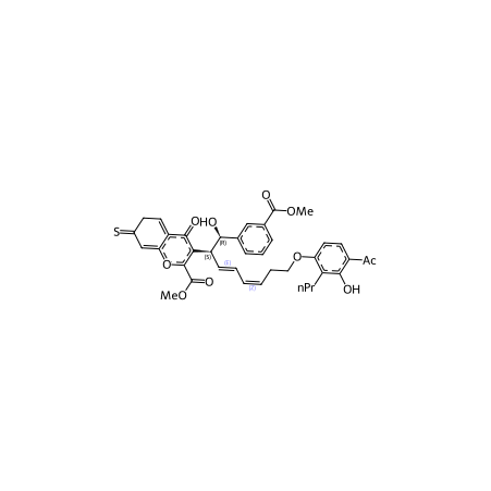 CCCc1c(OCC/C=C\C=C\[C@@H](c2c(C(=O)OC)oc3c(c2=O)=CCC(=S)C=3)[C@@H](O)c2cccc(C(=O)OC)c2)ccc(C(C)=O)c1O